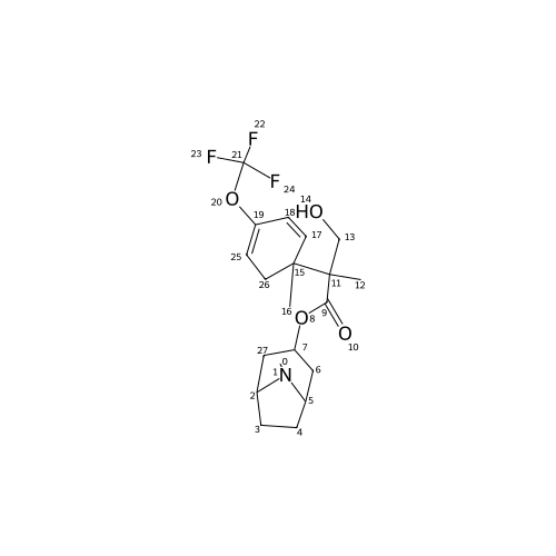 CN1C2CCC1CC(OC(=O)C(C)(CO)C1(C)C=CC(OC(F)(F)F)=CC1)C2